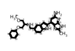 COCC(COc1ccccc1)NCc1ccc2[nH]c(-c3cc(N)nc4[nH]c(C)nc34)cc2c1